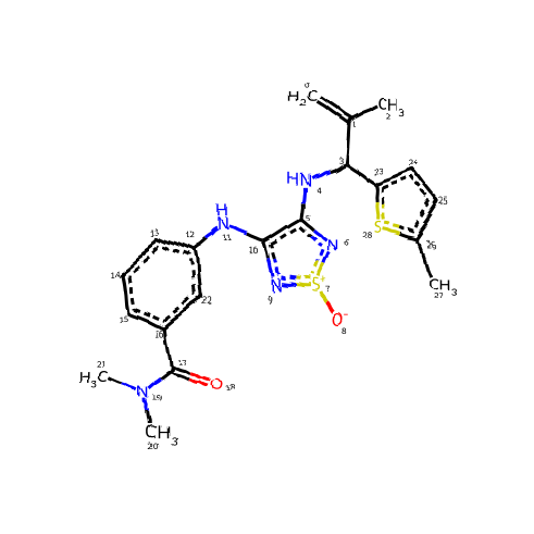 C=C(C)C(Nc1n[s+]([O-])nc1Nc1cccc(C(=O)N(C)C)c1)c1ccc(C)s1